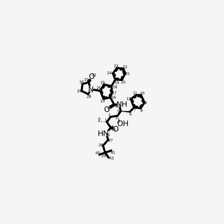 C[C@H](C[C@@H](O)[C@H](Cc1ccccc1)NC(=O)c1cc(-c2ccccc2)cc(N2CCCC2=O)c1)C(=O)NCCC(C)(C)C